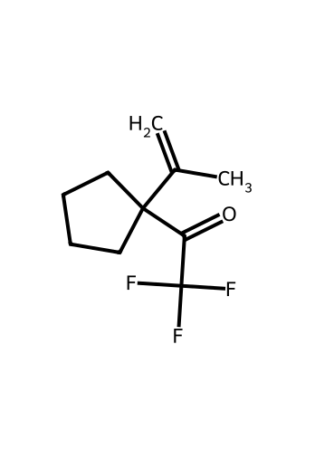 C=C(C)C1(C(=O)C(F)(F)F)CCCC1